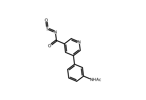 CC(=O)Nc1cccc(-c2cncc(C(=O)N=S=O)c2)c1